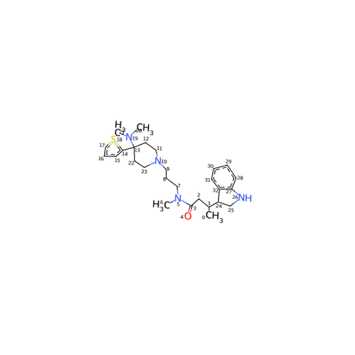 CC(CC(=O)N(C)CCCN1CCC(c2cccs2)(N(C)C)CC1)C1CNc2ccccc21